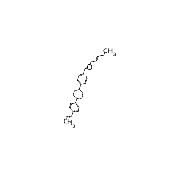 CC=Cc1ccc(C2CCC(c3ccc(COCC=CCC)cc3)CC2)cc1